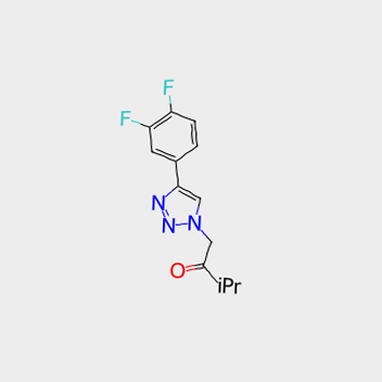 CC(C)C(=O)Cn1cc(-c2ccc(F)c(F)c2)nn1